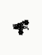 CC(=O)O[C@H]1[C@H](OCc2ccccc2)[C@@H](N=[N+]=[N-])C(O)O[C@@H]1COCc1ccccc1